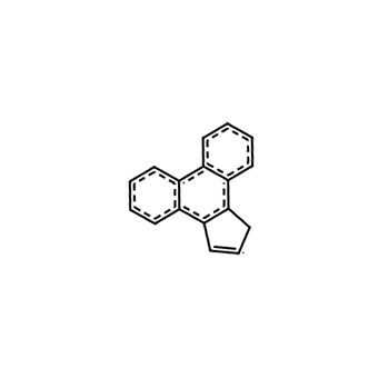 [C]1=Cc2c(c3ccccc3c3ccccc23)C1